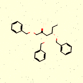 C[C@@H](C=O)[C@@H](OCc1ccccc1)[C@H](OCc1ccccc1)C(=O)COCc1ccccc1